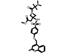 COC(=O)CC1(NS(=O)(=O)c2ccc(OCc3cc(C)nc4ccccc34)cc2)CN(C(=O)C(C)(C)N(C)C)C1